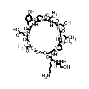 CC(C)C[C@@H]1NC(=O)[C@@H]2CCCN2C(=O)[C@@H](NC(=O)[C@H](CCCCN)NC(=O)[C@@H](N)CO)CCSSCC[C@@H](C(N)=O)CC(=O)[C@H](CCC(=O)O)NC(=O)[C@H](Cc2ccc(O)cc2)NC(=O)[C@@H]2CCCN2C(=O)C(C(C)O)NC(=O)[C@H](CC(=O)O)NC1=O